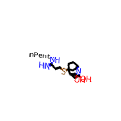 CCCCCNC(=N)CCSC12CCC(CC1)n1c(O)cc2c1O